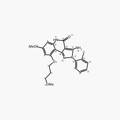 COCCCOc1cc(OC)cc2[nH]c(=O)c3c(N)n(-c4ccccc4C)nc3c12